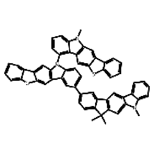 Cn1c2ccccc2c2cc3c(cc21)C(C)(C)c1ccc(-c2ccc4c(c2)c2cc5oc6ccccc6c5cc2n4-c2cccc4c2c2cc5sc6ccccc6c5cc2n4C)cc1-3